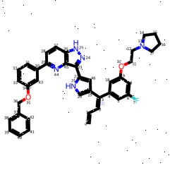 C=C/C=C(/c1cc(F)cc(OCCN2CCCC2)c1)c1c[nH]c(-c2n[nH]c3ccc(-c4cccc(OCc5ccccc5)c4)nc23)c1